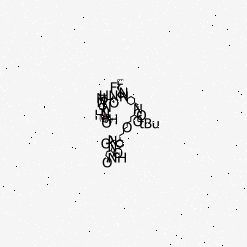 CN(CC1CCC(n2cc(NC(=O)c3cnn4ccc(N5C[C@H]6C[C@@H]5CO6)nc34)c(C(F)F)n2)CC1)CC(CCCOCCCc1cccc2c1n(C)c(=O)n2C1CCC(=O)NC1=O)C(=O)OC(C)(C)C